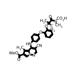 COC(=O)c1cn2ncc(C#N)c(Nc3ccc(Oc4ccccc4OC(C)(C)C(=O)N(C)C(=O)O)cc3)c2c1C